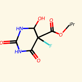 CC(C)OC(=O)C1(F)C(=O)NC(=O)NC1O